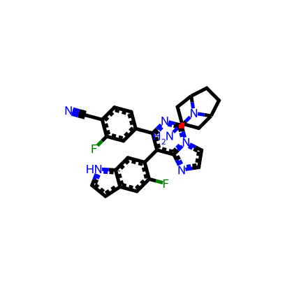 N#Cc1ccc(-c2nc(N3C4CCC3CC(N)C4)n3ccnc3c2-c2cc3[nH]ccc3cc2F)cc1F